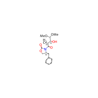 COC(OC)[C@@H](O)[C@H](C)C(=O)N1C(=O)OC[C@@H]1Cc1ccccc1